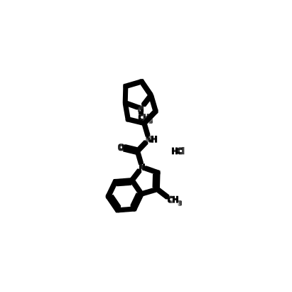 Cc1cn(C(=O)NC2CC3CCC(C2)N3C)c2ccccc12.Cl